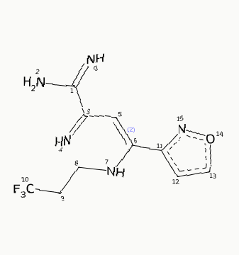 N=C(N)C(=N)/C=C(\NCCC(F)(F)F)c1ccon1